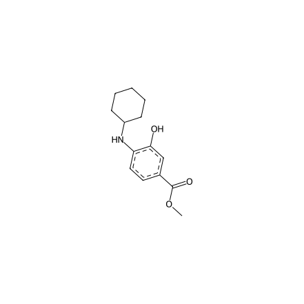 COC(=O)c1ccc(NC2CCCCC2)c(O)c1